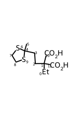 CCC(CCC1(C)SCCS1)(C(=O)O)C(=O)O